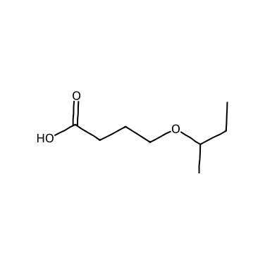 CCC(C)OCCCC(=O)O